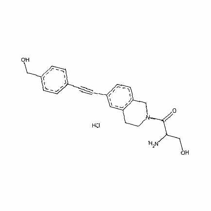 Cl.NC(CO)C(=O)N1CCc2cc(C#Cc3ccc(CO)cc3)ccc2C1